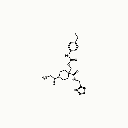 CCc1ccc(NC(=O)OCC2(C(=O)NCc3ncc[nH]3)CCN(C(=O)CN)CC2)cc1